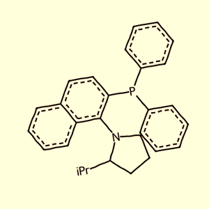 CC(C)C1CCCN1c1c(P(c2ccccc2)c2ccccc2)ccc2ccccc12